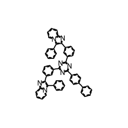 c1ccc(-c2ccc(-c3nc(-c4cccc(-c5nc6ccccn6c5-c5ccccc5)c4)nc(-c4cccc(-c5nc6ccccn6c5-c5ccccc5)c4)n3)cc2)cc1